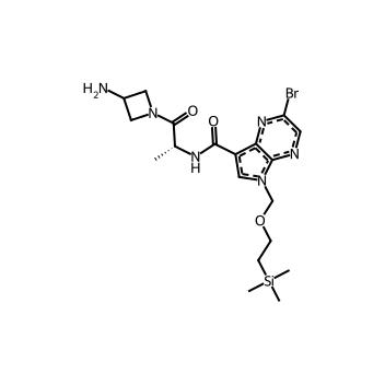 C[C@@H](NC(=O)c1cn(COCC[Si](C)(C)C)c2ncc(Br)nc12)C(=O)N1CC(N)C1